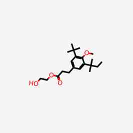 CCC(C)(C)c1cc(CCC(=O)OCCO)cc(C(C)(C)C)c1OC